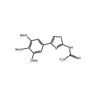 COc1cc(-c2csc(NC(=N)N)n2)cc(OC)c1OC